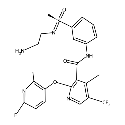 Cc1nc(F)ccc1Oc1ncc(C(F)(F)F)c(C)c1C(=O)Nc1cccc([S@@](C)(=O)=NCCN)c1